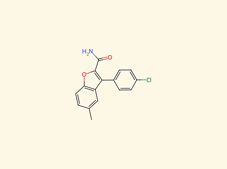 Cc1ccc2oc(C(N)=O)c(-c3ccc(Cl)cc3)c2c1